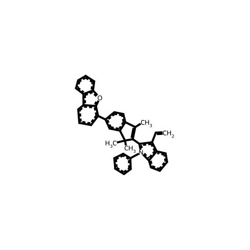 C=Cc1c(C2=C(C)c3ccc(-c4cccc5c4oc4ccccc45)cc3C2(C)C)n(-c2ccccc2)c2ccccc12